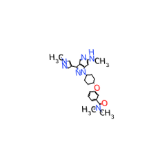 CNc1cc2c(cn1)c(-c1cnn(C)c1)nn2[C@H]1CC[C@@H](Oc2cccc(C(=O)N(C)C)c2)CC1